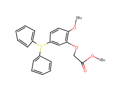 CC(C)(C)OC(=O)COc1cc([S+](c2ccccc2)c2ccccc2)ccc1OC(C)(C)C